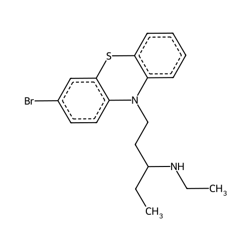 CCNC(CC)CCN1c2ccccc2Sc2cc(Br)ccc21